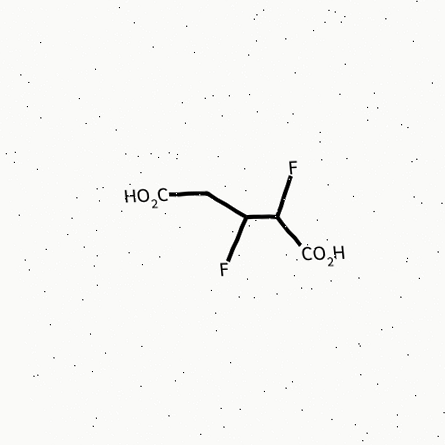 O=C(O)CC(F)C(F)C(=O)O